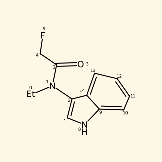 CCN(C(=O)CF)c1c[nH]c2ccccc12